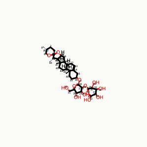 C[C@@H]1CC[C@@]2(OC1)O[C@H]1C[C@H]3[C@@H]4CC=C5CC(O[C@@H]6OC(CO)[C@@H](O)C(O)[C@@H]6O[C@@H]6OC(O)[C@H](O)C(O)[C@@H]6O)CC[C@]5(C)[C@H]4CC[C@]3(C)[C@H]1[C@@H]2C